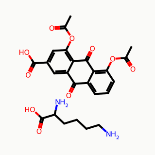 CC(=O)Oc1cccc2c1C(=O)c1c(OC(C)=O)cc(C(=O)O)cc1C2=O.NCCCCC(N)C(=O)O